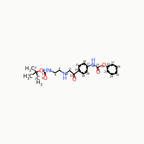 CC(C)(C)OC(=O)NCCNCC(=O)c1ccc(NC(=O)Oc2ccccc2)cc1